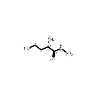 NNC(=O)[C@@H](N)CCO